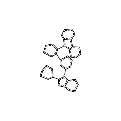 c1ccc(-c2nc3ccccc3n2-c2cccc(-c3ccccc3-n3c4ccccc4c4ccccc43)c2)cc1